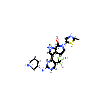 Cc1ncc(-n2ccc3c(-c4nc(N[C@H]5CCCNC5)ncc4C(F)(F)F)c[nH]c3c2=O)s1